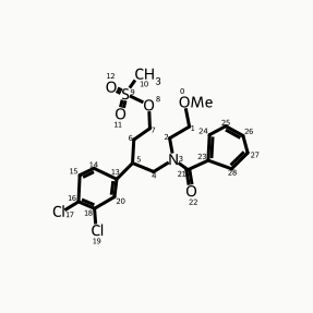 COCCN(CC(CCOS(C)(=O)=O)c1ccc(Cl)c(Cl)c1)C(=O)c1ccccc1